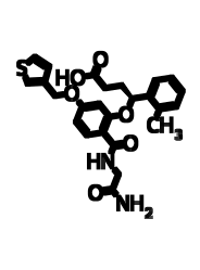 Cc1ccccc1[C@H](CCC(=O)O)Oc1cc(OCc2ccsc2)ccc1C(=O)NCC(N)=O